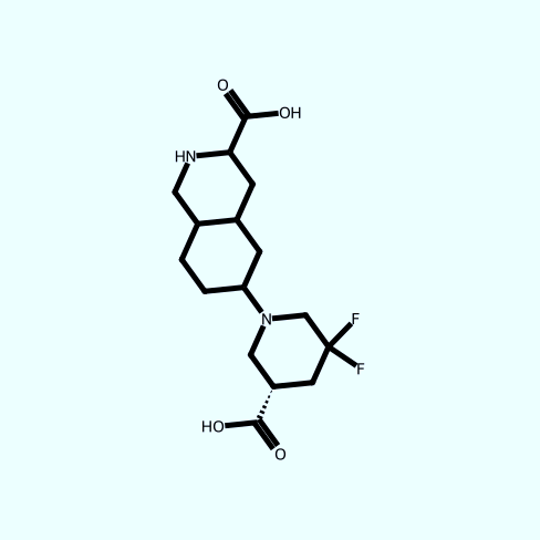 O=C(O)C1CC2CC(N3C[C@@H](C(=O)O)CC(F)(F)C3)CCC2CN1